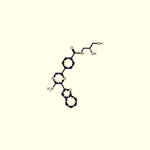 Nc1ncc(-c2ccc(C(=O)NC[C@H](O)CO)cc2)nc1-c1cc2ccccc2o1